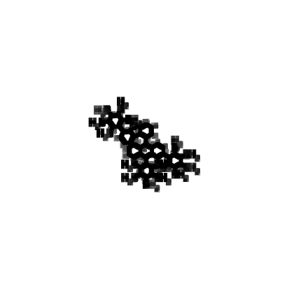 Bc1c(B)c(B)c(-c2ccc3c(-c4cccc5oc6c(-c7c(B)c(B)c(B)c(B)c7B)cccc6c45)c4ccccc4c(-c4c(B)c(B)c(B)c(B)c4B)c3c2)c(B)c1B